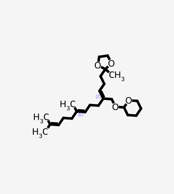 CC(C)=CCC/C(C)=C/CC/C(=C/CCC1(C)OCCO1)COC1CCCCO1